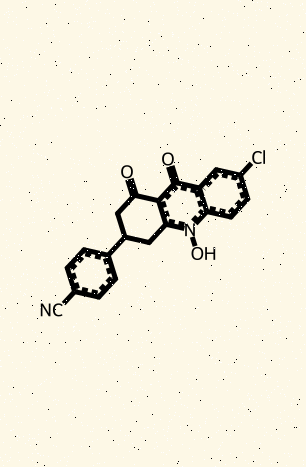 N#Cc1ccc(C2CC(=O)c3c(n(O)c4ccc(Cl)cc4c3=O)C2)cc1